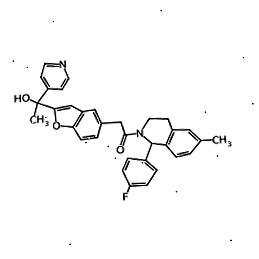 Cc1ccc2c(c1)CCN(C(=O)Cc1ccc3oc(C(C)(O)c4ccncc4)cc3c1)C2c1ccc(F)cc1